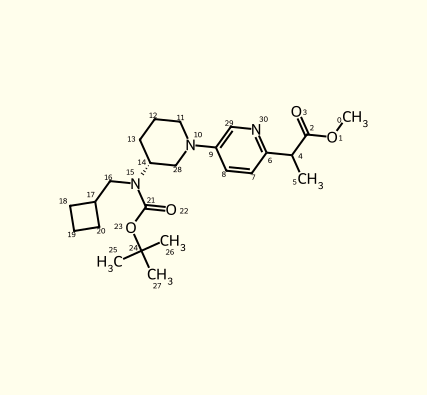 COC(=O)C(C)c1ccc(N2CCC[C@@H](N(CC3CCC3)C(=O)OC(C)(C)C)C2)cn1